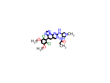 C=CC(=O)N[C@@H]1CN(C)C[C@@H]1Nc1ncc2cc(-c3c(Cl)c(OC)cc(OC)c3Cl)c3ncnn3c2n1